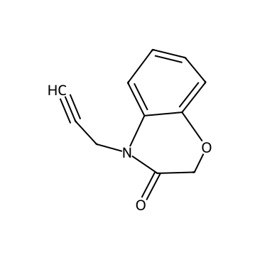 C#CCN1C(=O)COc2ccccc21